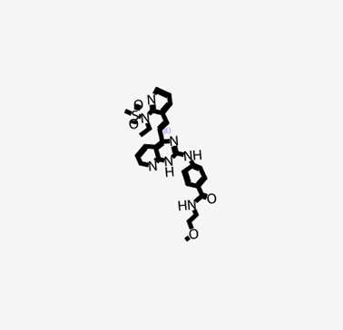 CCN(c1ncccc1/C=C/C1=C2C=CCN=C2NC(Nc2ccc(C(=O)NCCOC)cc2)=N1)S(C)(=O)=O